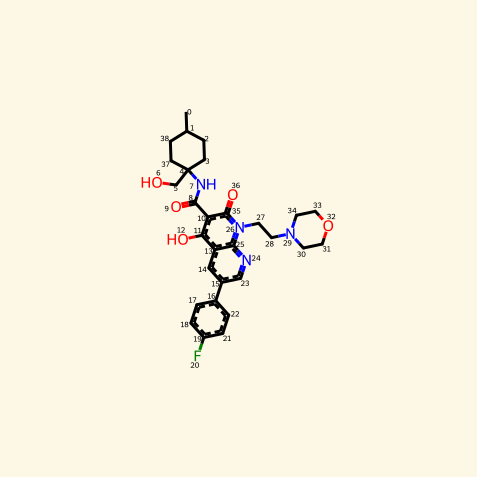 CC1CCC(CO)(NC(=O)c2c(O)c3cc(-c4ccc(F)cc4)cnc3n(CCN3CCOCC3)c2=O)CC1